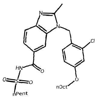 CCCCCCCCOc1ccc(Cn2c(C)nc3ccc(C(=O)NS(=O)(=O)CCCCC)cc32)c(Cl)c1